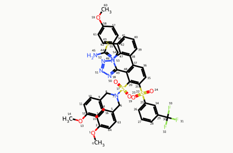 COc1ccc(CN(Cc2ccc(OC)cc2)S(=O)(=O)c2c(S(=O)(=O)c3cccc(C(F)(F)F)c3)ccc(-c3cccc4sc(N)nc34)c2-c2nnnn2Cc2ccc(OC)cc2)cc1